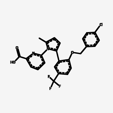 Cc1ccc(-c2cc(C(F)(F)F)ccc2OCc2ccc(Cl)cc2)n1-c1cccc(C(=O)O)n1